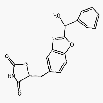 O=C1NC(=O)C(Cc2ccc3oc(C(O)c4ccccc4)nc3c2)S1